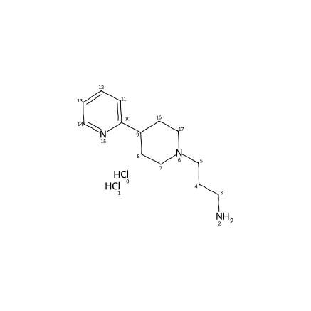 Cl.Cl.NCCCN1CCC(c2ccccn2)CC1